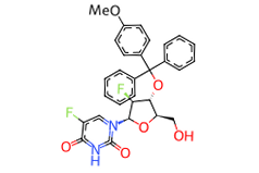 COc1ccc(C(O[C@H]2[C@H](F)[C@H](n3cc(F)c(=O)[nH]c3=O)O[C@@H]2CO)(c2ccccc2)c2ccccc2)cc1